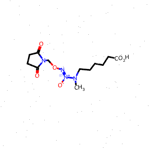 CN(CCCCCC(=O)O)/[N+]([O-])=N/OCN1C(=O)CCC1=O